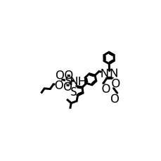 CCCCOC(=O)S(=O)(=O)Nc1sc(CC(C)C)cc1-c1ccc(Cn2c(-c3ccccc3)nc(OCCOC)c2C=O)cc1